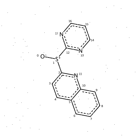 [O-][S+](c1ccc2ccccc2n1)c1ncccn1